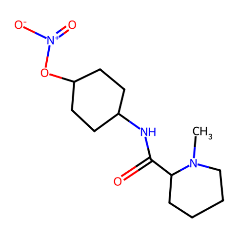 CN1CCCCC1C(=O)NC1CCC(O[N+](=O)[O-])CC1